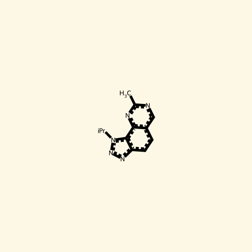 Cc1ncc2ccc3nnn(C(C)C)c3c2n1